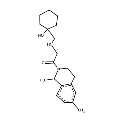 Cc1ccc2c(c1)CCN(C(=O)CNCC1(O)CCCCC1)C2C